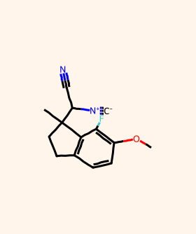 [C-]#[N+]C(C#N)C1(C)CCc2ccc(OC)c(F)c21